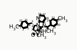 Cc1ccc(C[C@@H](CS(C)(=O)=O)n2c(=N)n(C(C)c3ccc(C)cc3)c3cccnc32)cc1